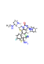 CNC1CCCN(C[C@H]2CSc3c(-c4ccc(F)c5sc(N)c(C#N)c45)c(Cl)cc4c(N5CC6CCC(C5)N6)nc(=O)n2c34)C1